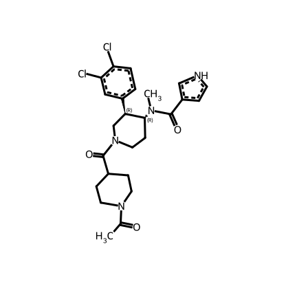 CC(=O)N1CCC(C(=O)N2CC[C@@H](N(C)C(=O)c3cc[nH]c3)[C@H](c3ccc(Cl)c(Cl)c3)C2)CC1